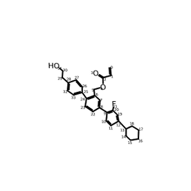 C=CC(=O)OCc1cc(-c2ccc(C3CCCCC3)cc2F)ccc1-c1ccc(CCO)cc1